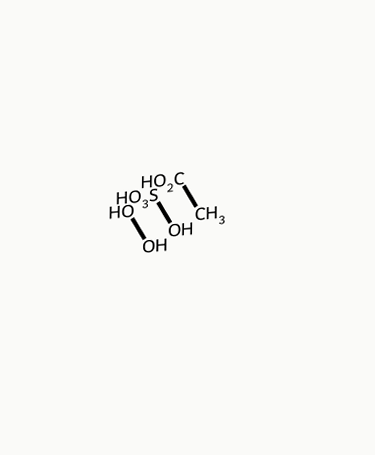 CC(=O)O.O=S(=O)(O)O.OO